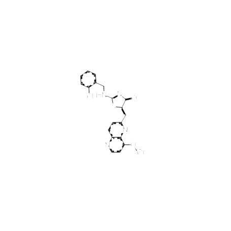 CC(C)Oc1ccnc2ccc(/C=C3\SC(NCc4ccccc4Cl)=NC3=O)nc12